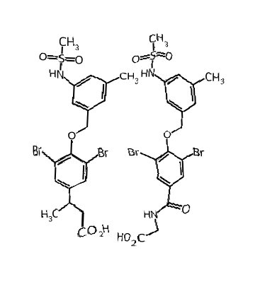 Cc1cc(COc2c(Br)cc(C(=O)NCC(=O)O)cc2Br)cc(NS(C)(=O)=O)c1.Cc1cc(COc2c(Br)cc(C(C)CC(=O)O)cc2Br)cc(NS(C)(=O)=O)c1